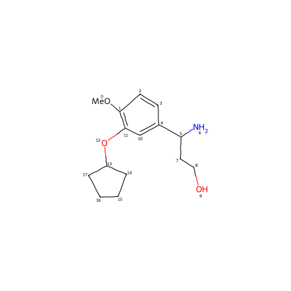 COc1ccc(C(N)CCO)cc1OC1CCCC1